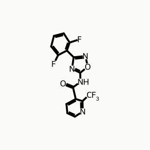 O=C(Nc1nc(-c2c(F)cccc2F)no1)c1cccnc1C(F)(F)F